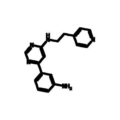 Nc1cccc(-c2cc(NCCc3ccncc3)ncn2)c1